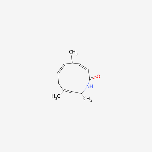 C/C1=C/C(C)NC(=O)/C=C\C(C)/C=C\C1